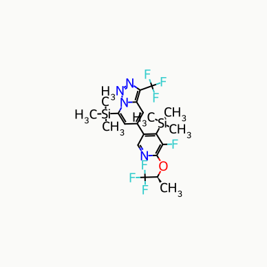 C[C@H](Oc1ncc(-c2cc([Si](C)(C)C)n3nnc(C(F)(F)F)c3c2)c([Si](C)(C)C)c1F)C(F)(F)F